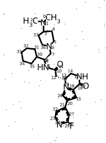 CN(C)C1CCN(C[C@@H](NC(=O)C[C@@H]2CNC(=O)c3cc(-c4ccnc(F)c4)cn32)C2CCCCC2)CC1